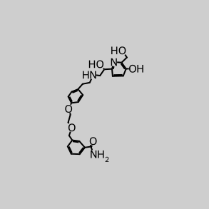 NC(=O)c1cccc(COCCOc2ccc(CCNCC(O)c3ccc(O)c(CO)n3)cc2)c1